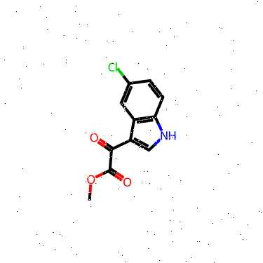 COC(=O)C(=O)c1c[nH]c2ccc(Cl)cc12